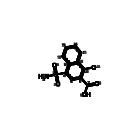 NS(=O)(=O)c1cc(C(=O)O)c([O])c2ccccc12